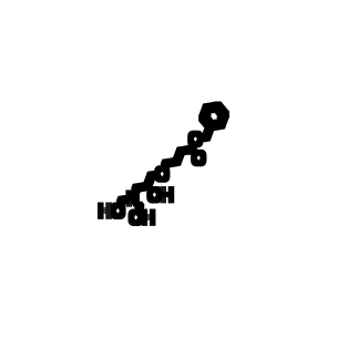 O=C(CCCOCC(O)CN(CO)CO)OCc1ccccc1